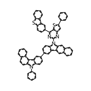 c1ccc(-c2cc3nc(-n4c5ccc(-c6ccc7c(c6)c6c8ccccc8ccc6n7-c6ccccc6)cc5c5cc6ccccc6cc54)nc(-c4ccc5sc6ccccc6c5c4)c3s2)cc1